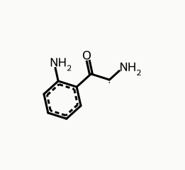 N[CH]C(=O)c1ccccc1N